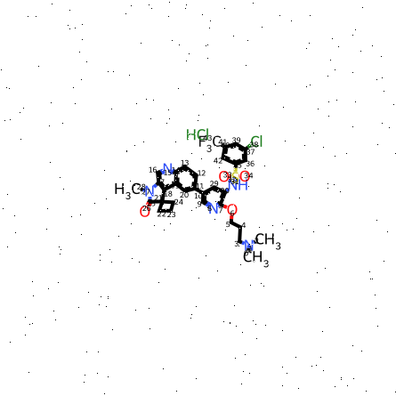 CN(C)CCCOc1ncc(-c2ccc3ncc4c(c3c2)C2(CCC2)C(=O)N4C)cc1NS(=O)(=O)c1cc(Cl)cc(C(F)(F)F)c1.Cl